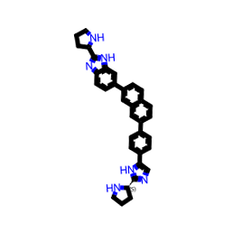 c1cc(-c2cnc([C@@H]3CCCN3)[nH]2)ccc1-c1ccc2ccc(-c3ccc4nc(C5CCCN5)[nH]c4c3)cc2c1